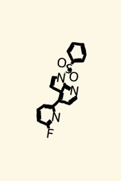 O=S(=O)(c1ccccc1)n1ccc2c(-c3cccc(F)n3)ccnc21